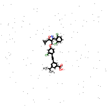 CC(C)c1cc(C#Cc2ccc(OCc3c(-c4c(Cl)cccc4Cl)noc3C3CC3)cc2Cl)cc(C(=O)O)c1